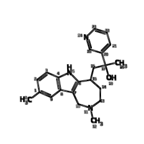 Cc1ccc2[nH]c3c(c2c1)CN(C)CCC3CC(C)(O)c1cccnc1